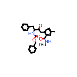 Cc1ccc(CC(=O)C(Cc2ccccc2)NC(=O)OCc2ccccc2)c(C(=O)NC(C)(C)C)c1